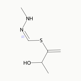 C=C(S/C=N\NC)C(C)O